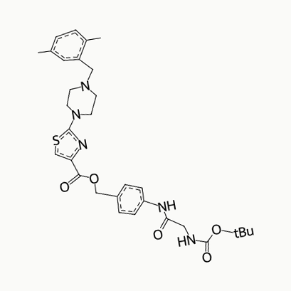 Cc1ccc(C)c(CN2CCN(c3nc(C(=O)OCc4ccc(NC(=O)CNC(=O)OC(C)(C)C)cc4)cs3)CC2)c1